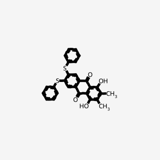 Cc1c(C)c(O)c2c(c1O)C(=O)c1cc(Sc3ccccc3)c(Sc3ccccc3)cc1C2=O